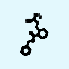 N=C(N)SCC1CCCCN1C(=O)OCc1ccccc1